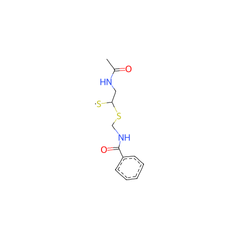 CC(=O)NCC([S])SCNC(=O)c1ccccc1